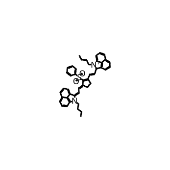 CCCCn1/c(=C/C=C2\CCC(/C=C/C3=[N+](CCCC)c4cccc5cccc3c45)=C2S(=O)(=O)c2ccccc2)c2cccc3cccc1c32